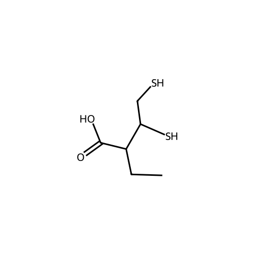 CCC(C(=O)O)C(S)CS